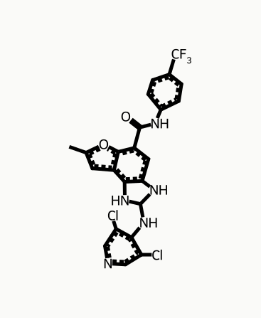 Cc1cc2c3c(cc(C(=O)Nc4ccc(C(F)(F)F)cc4)c2o1)NC(Nc1c(Cl)cncc1Cl)N3